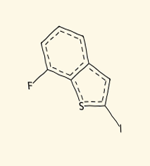 Fc1cccc2cc(I)sc12